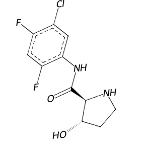 O=C(Nc1cc(Cl)c(F)cc1F)[C@H]1NCC[C@@H]1O